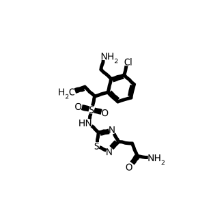 C=CC(c1cccc(Cl)c1CN)S(=O)(=O)Nc1nc(CC(N)=O)ns1